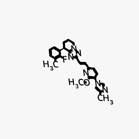 COc1nc(/C=C/c2nc3n(n2)CCC[C@@H]3c2cccc(C)c2F)ccc1-n1cnc(C)c1